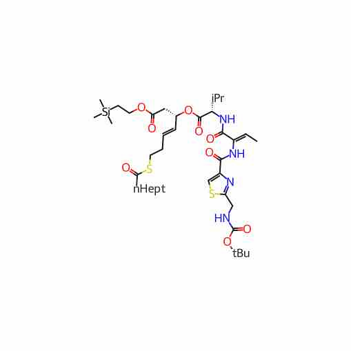 C/C=C(\NC(=O)c1csc(CNC(=O)OC(C)(C)C)n1)C(=O)N[C@H](C(=O)O[C@H](/C=C/CCSC(=O)CCCCCCC)CC(=O)OCC[Si](C)(C)C)C(C)C